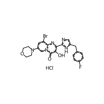 Cl.O=c1c(O)c(-c2ncc(Cc3ccc(F)cc3)[nH]2)nc2c(Br)cc(N3CCOCC3)cn12